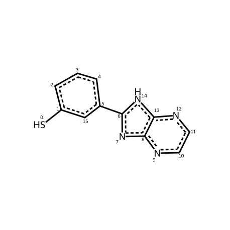 Sc1cccc(-c2nc3nccnc3[nH]2)c1